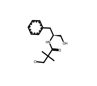 CC(C)(CCl)C(=O)N[C@H](CO)Cc1ccccc1